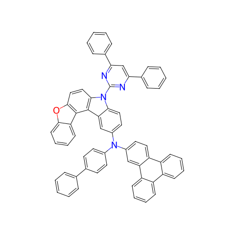 c1ccc(-c2ccc(N(c3ccc4c5ccccc5c5ccccc5c4c3)c3ccc4c(c3)c3c5c(ccc3n4-c3nc(-c4ccccc4)cc(-c4ccccc4)n3)oc3ccccc35)cc2)cc1